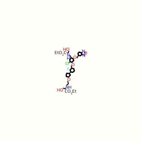 CCOC(=O)[C@@H](CO)NCCCOc1cccc(-c2cccc(COc3cc(OCc4ccc5nonc5c4)c(CN[C@H](CO)C(=O)OCC)cc3Cl)c2F)c1